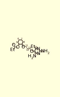 CCC(=O)Oc1ccccc1OCCCOc1c(N)nc(N)nc1CC